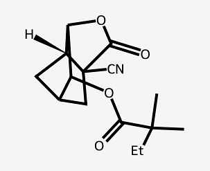 CCC(C)(C)C(=O)OC1C2C[C@@H]3C1OC(=O)C3(C#N)C2